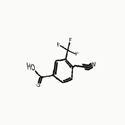 N#Cc1ccc(C(=O)O)cc1C(F)(F)F